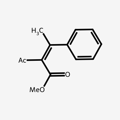 COC(=O)C(C(C)=O)=C(C)c1ccccc1